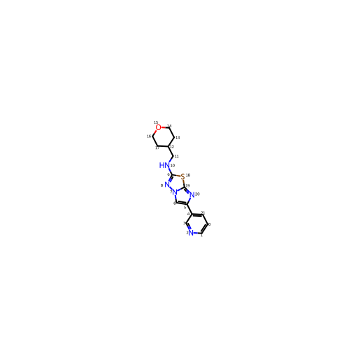 c1cncc(-c2cn3nc(NCC4CCOCC4)sc3n2)c1